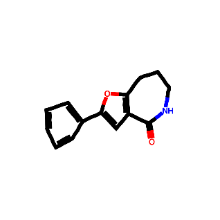 O=C1NCCCc2oc(-c3ccccc3)cc21